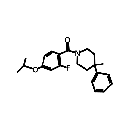 CC(C)Oc1ccc(C(=O)N2CCC(C)(c3ccccc3)CC2)c(F)c1